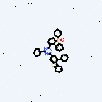 O=P(c1ccccc1)(c1cccc(-c2nc(-c3ccccc3)nc(-c3cc(-c4ccccc4)c4c(c3)sc3ccccc34)n2)c1)C1C=CC=CC1